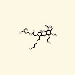 CCCCCCC1=C(Cc2c(N)c3c(c(C)c2CCC)COC3=O)CCC1CC(=O)OCCN(C)C